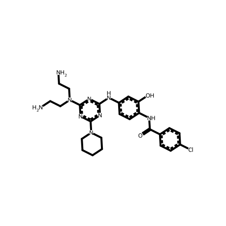 NCCN(CCN)c1nc(Nc2ccc(NC(=O)c3ccc(Cl)cc3)c(O)c2)nc(N2CCCCC2)n1